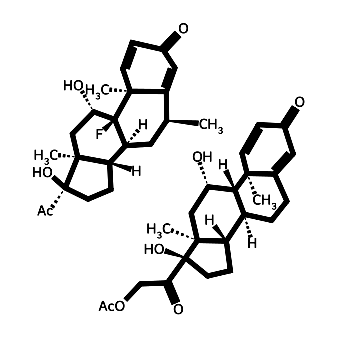 CC(=O)OCC(=O)[C@@]1(O)CC[C@H]2[C@@H]3CCC4=CC(=O)C=C[C@]4(C)[C@H]3[C@@H](O)C[C@@]21C.CC(=O)[C@@]1(O)CC[C@H]2[C@@H]3C[C@H](C)C4=CC(=O)C=C[C@]4(C)[C@@]3(F)[C@@H](O)C[C@@]21C